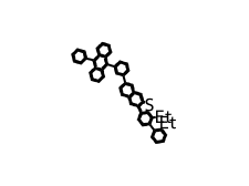 CCc1ccccc1-c1ccc2c(sc3cc4cc(-c5cccc(-c6c7ccccc7c(-c7ccccc7)c7ccccc67)c5)ccc4cc32)c1CC